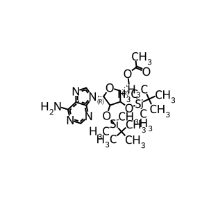 CC(=O)OC[C@H]1O[C@@H](n2cnc3c(N)ncnc32)C(O[Si](C)(C)C(C)(C)C)C1O[Si](C)(C)C(C)(C)C